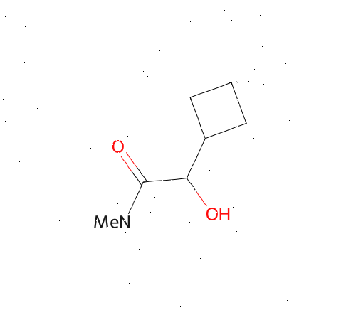 CNC(=O)C(O)C1C[CH]C1